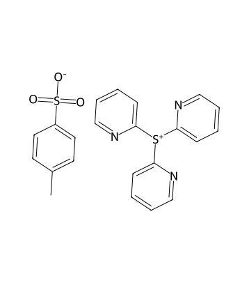 Cc1ccc(S(=O)(=O)[O-])cc1.c1ccc([S+](c2ccccn2)c2ccccn2)nc1